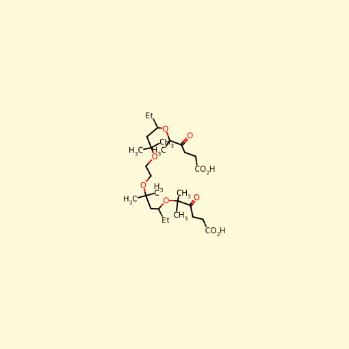 CCC(CC(C)(C)OCCOC(C)(C)CC(CC)OC(C)(C)C(=O)CCC(=O)O)OC(C)C(=O)CCC(=O)O